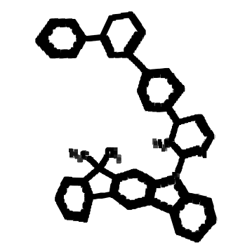 CC1(C)c2ccccc2-c2cc3c4ccccc4n(C4=NC=CC(c5ccc(C6=CCCC(c7ccccc7)=C6)cc5)[SiH2]4)c3cc21